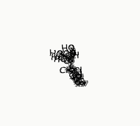 O=C([C@@H](O)[C@@H](O)[C@H](O)[C@@H](O)CO)N(CCCCc1cc(Cl)c(COC2(c3cnccc3-c3ccccc3OC3CC3)CC2)cc1Cl)CCOCCO